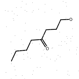 CCCCC(=O)CCC[O]